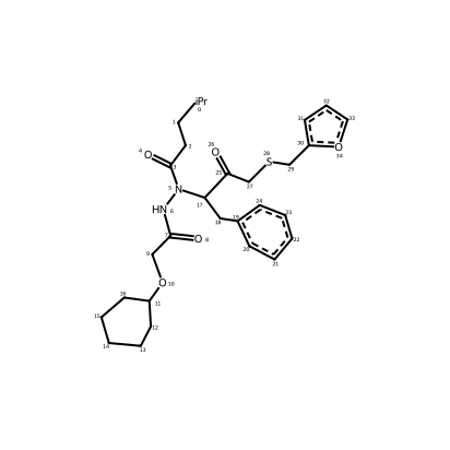 CC(C)CCC(=O)N(NC(=O)COC1CCCCC1)C(Cc1ccccc1)C(=O)CSCc1ccco1